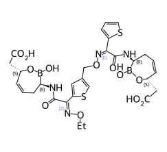 CCO/N=C(/C(=O)N[C@H]1CC=C[C@H](CC(=O)O)OB1O)c1cc(CO/N=C(\C(=O)N[C@H]2CC=C[C@H](CC(=O)O)OB2O)c2cccs2)cs1